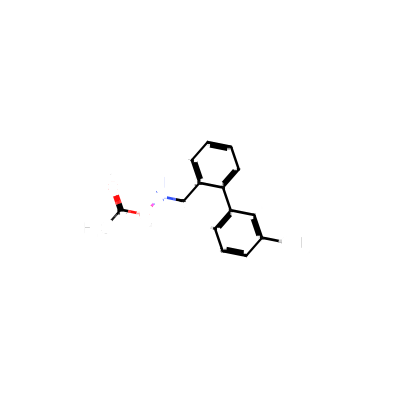 Cc1cccc(-c2ccccc2CNOC(=O)C(F)(F)F)c1